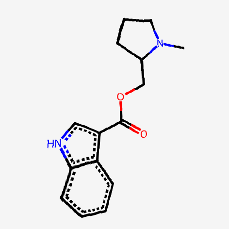 CN1CCCC1COC(=O)c1c[nH]c2ccccc12